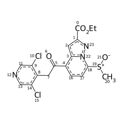 CCOC(=O)c1cc2c(C(=O)Cc3c(Cl)cncc3Cl)ccc([S+](C)[O-])n2n1